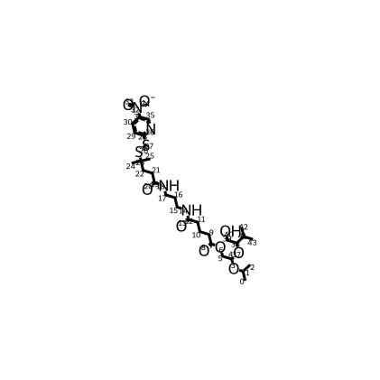 CC(C)OC(COC(=O)CCCC(=O)NCCCNC(=O)CCC(C)(C)SSc1ccc([N+](=O)[O-])cn1)OC(CO)C(C)C